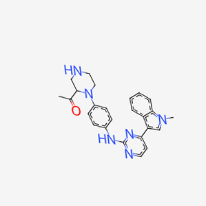 CC(=O)C1CNCCN1c1ccc(Nc2nccc(-c3cn(C)c4ccccc34)n2)cc1